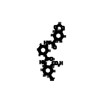 O=C(Nc1cccc(C(=O)Nc2ccc(Br)cc2C(=O)O)c1)c1ccc2c(c1)OCO2